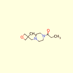 CCC(=O)N1CCN(CC2(C)COC2)CC1